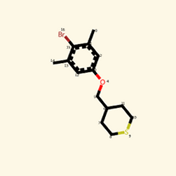 Cc1cc(OCC2CCSCC2)cc(C)c1Br